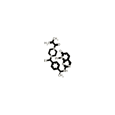 C=C(C)C(=O)N1CCN(C(CC)c2ccc([C@H](C)Nc3ncc4ccc(=O)n(C(C)C)c4n3)cc2)CC1